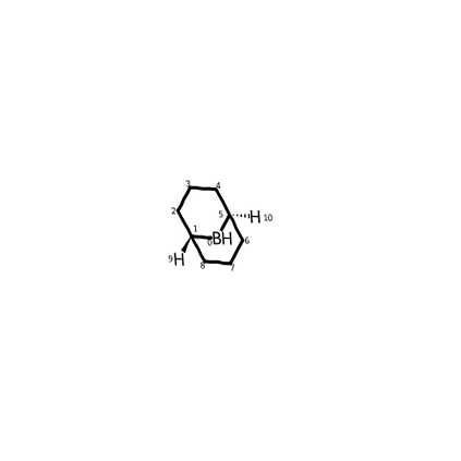 B1[C@H]2CCC[C@H]1CCC2